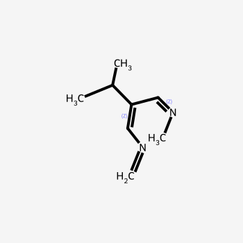 C=N/C=C(\C=N/C)C(C)C